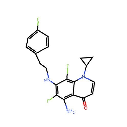 Nc1c(F)c(NCCc2ccc(F)cc2)c(F)c2c1c(=O)ccn2C1CC1